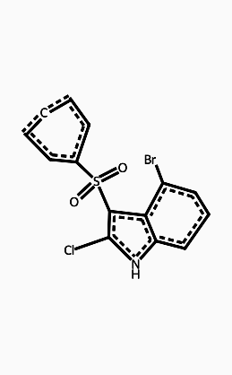 O=S(=O)(c1ccccc1)c1c(Cl)[nH]c2cccc(Br)c12